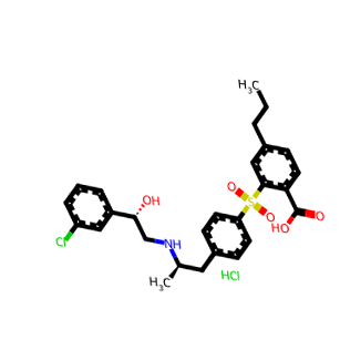 CCCc1ccc(C(=O)O)c(S(=O)(=O)c2ccc(C[C@@H](C)NC[C@@H](O)c3cccc(Cl)c3)cc2)c1.Cl